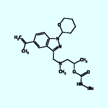 C=C(C)c1ccc2c(c1)c(CN(C)CC(C)OC(=O)NC(C)(C)C)nn2C1CCCCO1